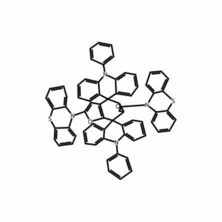 c1ccc(N2c3ccccc3C3(c4ccccc42)c2cc(N4c5ccccc5Sc5ccccc54)oc2C2(c4ccccc4N(c4ccccc4)c4ccccc42)c2cc(N4c5ccccc5Sc5ccccc54)oc23)cc1